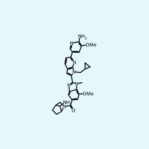 COc1cc(-c2ccc3cc(-c4nc5cc(C(=O)N6CC7CCC6C7N)cc(OC)c5n4C)n(CC4CC4)c3n2)cnc1N